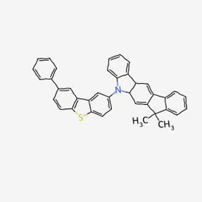 CC1(C)C2=CC3C(C=C2c2ccccc21)c1ccccc1N3c1ccc2sc3ccc(-c4ccccc4)cc3c2c1